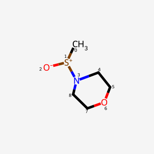 C[S+]([O-])N1CCOCC1